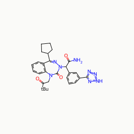 CC(C)(C)C(=O)CN1C(=O)N(C(C(N)=O)c2cccc(-c3nn[nH]n3)c2)N=C(C2CCCC2)c2ccccc21